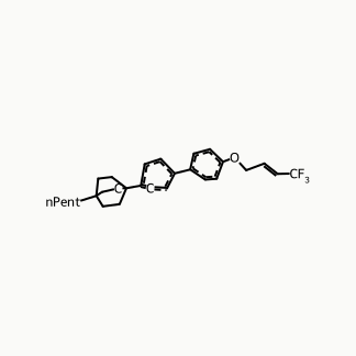 CCCCCC12CCC(c3ccc(-c4ccc(OCC=CC(F)(F)F)cc4)cc3)(CC1)CC2